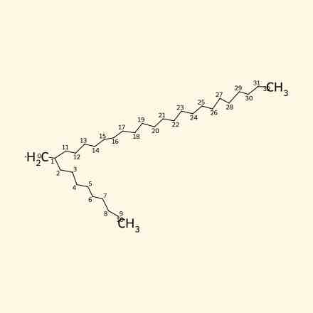 [CH2]C(CCCCCCCCC)CCCCCCCCCCCCCCCCCCCCCC